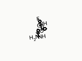 Cc1cc(F)ccc1NC(=O)OCC(Oc1cccc2sc(C(=N)N)cc12)c1ccccc1